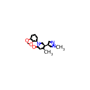 Cc1cc(=O)n(-c2cccc3c2OCO3)cc1-c1cnn(C)c1